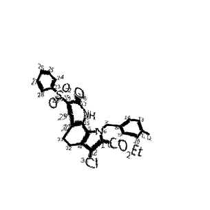 CCOC(=O)c1c(Cl)c2c(n1Cc1ccc(C)cc1)-c1[nH]c(=O)c(S(=O)(=O)c3ccccc3)cc1CC2